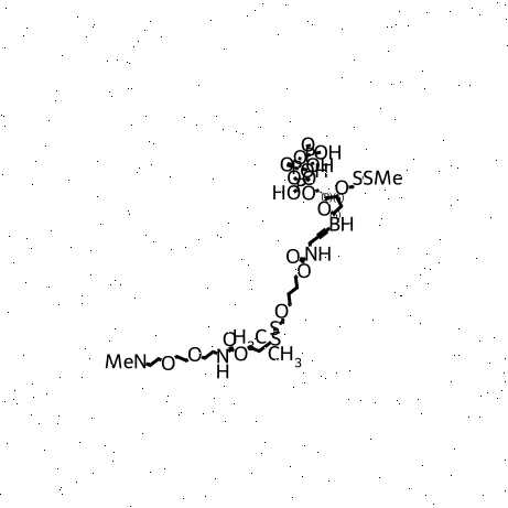 CNCCOCCOCCNC(=O)OCCC(C)(C)SSCOCCCCOC(=O)NCC#CB[C@H]1C[C@H](OCSSC)[C@@H](COP(=O)(O)OP(=O)(O)OP(=O)(O)O)O1